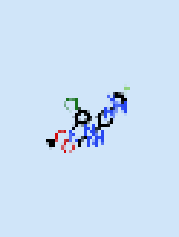 CC1c2nnc(C3CCN(c4ncc(F)cn4)CC3)n2-c2ccc(Cl)cc2CN1C(=O)OC1CC1